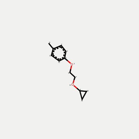 Cc1ccc(OCCOC2CC2)cc1